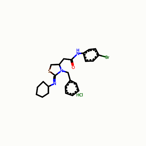 Cl.O=C(CC1CS/C(=N\C2CCCCC2)N1Cc1ccccc1)Nc1ccc(Br)cc1